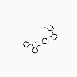 CNc1cc(-c2cccnc2Oc2ccc(Nc3nnc(-c4ccc(F)cc4)c4ccccc34)cn2)ccn1